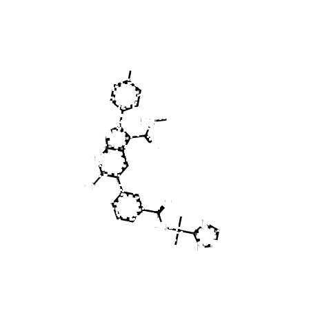 CNC(=O)c1c(-c2ccc(F)cc2)oc2nc(Cl)c(-c3cccc(C(=O)NC(C)(C)c4ncon4)c3)cc12